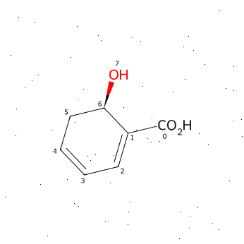 O=C(O)C1=CC=CC[C@H]1O